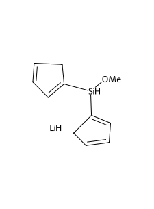 CO[SiH](C1=CC=CC1)C1=CC=CC1.[LiH]